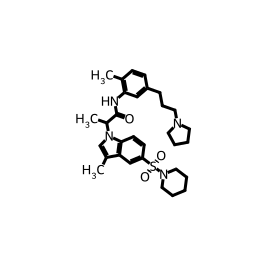 Cc1ccc(CCCN2CCCC2)cc1NC(=O)C(C)n1cc(C)c2cc(S(=O)(=O)N3CCCCC3)ccc21